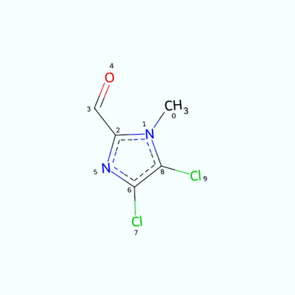 Cn1c(C=O)nc(Cl)c1Cl